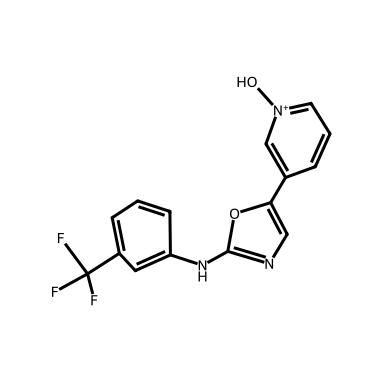 O[n+]1cccc(-c2cnc(Nc3cccc(C(F)(F)F)c3)o2)c1